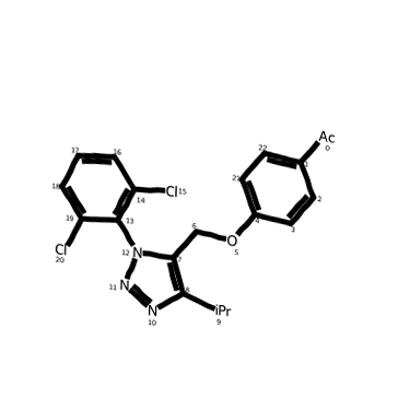 CC(=O)c1ccc(OCc2c(C(C)C)nnn2-c2c(Cl)cccc2Cl)cc1